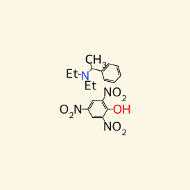 CCN(CC)C(C)c1ccccc1.O=[N+]([O-])c1cc([N+](=O)[O-])c(O)c([N+](=O)[O-])c1